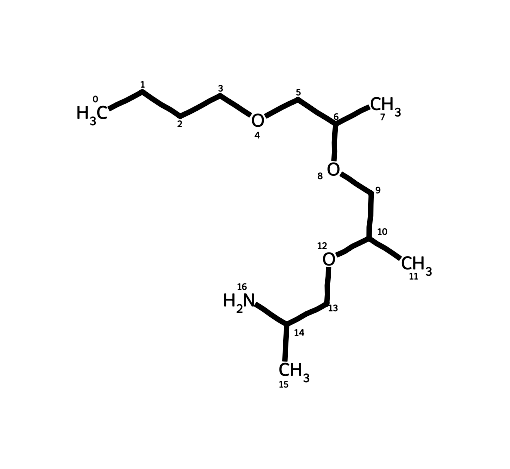 CCCCOCC(C)OCC(C)OCC(C)N